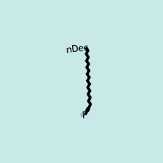 CCCCCCCCCCCCCCCCCCCCCCCCCCCC#C[P]